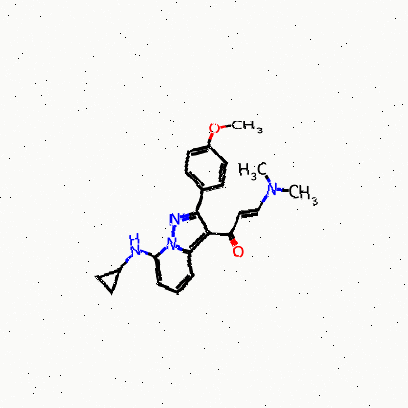 COc1ccc(-c2nn3c(NC4CC4)cccc3c2C(=O)/C=C/N(C)C)cc1